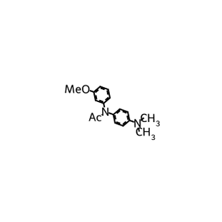 COc1cccc(N(C(C)=O)c2ccc(N(C)C)cc2)c1